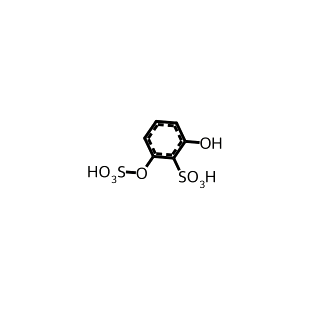 O=S(=O)(O)Oc1cccc(O)c1S(=O)(=O)O